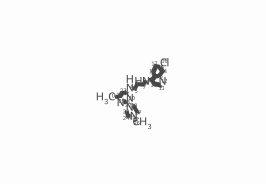 Cc1cc(NCCCNc2ccnc3cc(Cl)ccc23)nc(N2CCN(C)CC2)n1